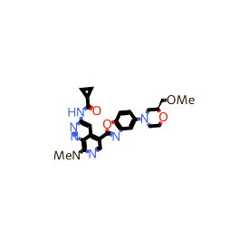 CNc1ncc(-c2nc3cc(N4CCO[C@H](COC)C4)ccc3o2)c2cc(NC(=O)C3CC3)nnc12